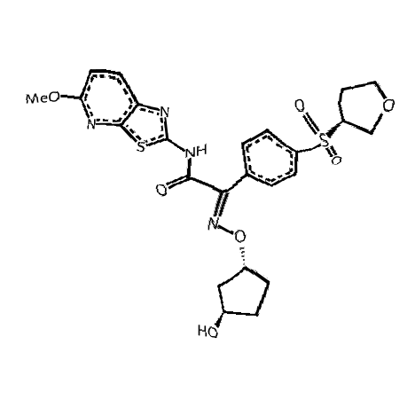 COc1ccc2nc(NC(=O)/C(=N/O[C@@H]3CC[C@@H](O)C3)c3ccc(S(=O)(=O)[C@H]4CCOC4)cc3)sc2n1